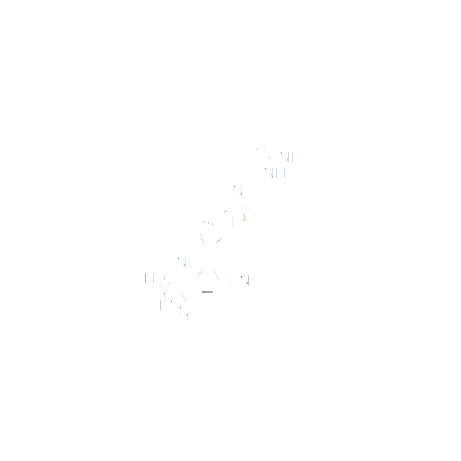 CCC1(c2cccc(Oc3cc(C(C)(N)c4cncn4C)ccc3C#N)c2)CCCCN(CCNC(N)=O)C1=O